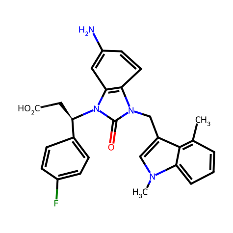 Cc1cccc2c1c(Cn1c(=O)n([C@H](CC(=O)O)c3ccc(F)cc3)c3cc(N)ccc31)cn2C